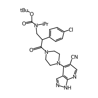 CC(C)N(CC(C(=O)N1CCN(c2c(C#N)cnc3[nH]ncc23)CC1)c1ccc(Cl)cc1)C(=O)OC(C)(C)C